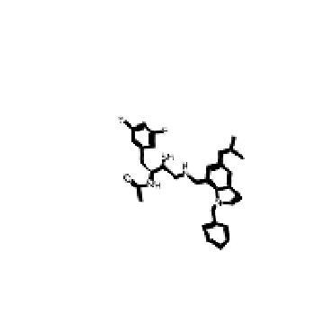 CC(=O)N[C@@H](Cc1cc(F)cc(F)c1)[C@@H](S)CNCc1cc(CC(C)C)cc2ccn(Cc3ccccc3)c12